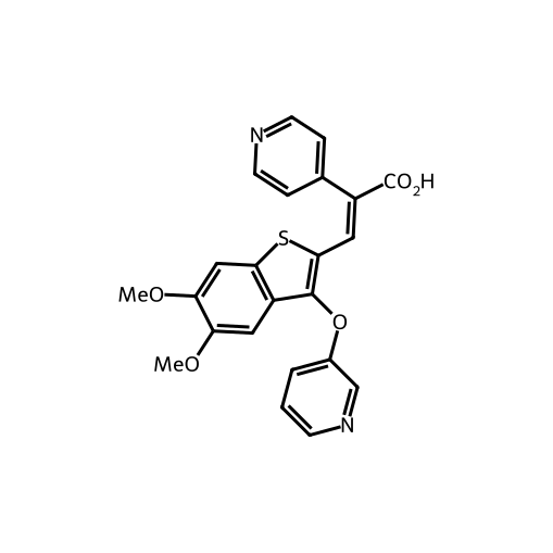 COc1cc2sc(C=C(C(=O)O)c3ccncc3)c(Oc3cccnc3)c2cc1OC